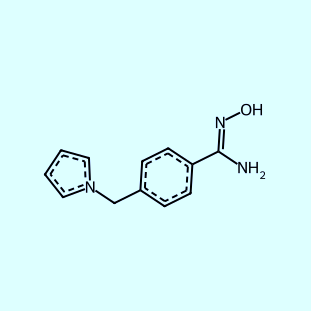 N/C(=N\O)c1ccc(Cn2cccc2)cc1